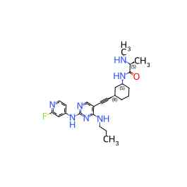 CCCNc1nc(Nc2ccnc(F)c2)ncc1C#C[C@@H]1CCC[C@H](NC(=O)[C@H](C)NC)C1